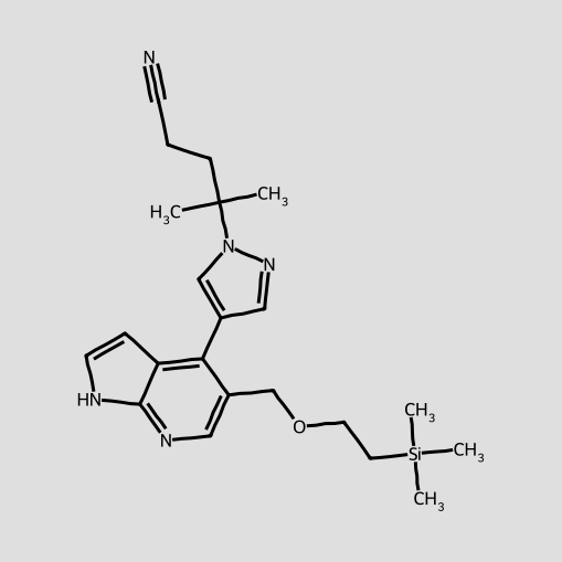 CC(C)(CCC#N)n1cc(-c2c(COCC[Si](C)(C)C)cnc3[nH]ccc23)cn1